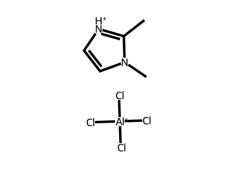 Cc1[nH+]ccn1C.[Cl][Al-]([Cl])([Cl])[Cl]